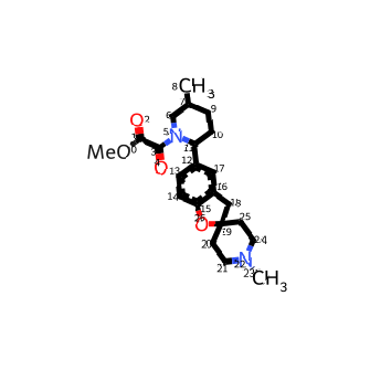 COC(=O)C(=O)N1CC(C)CCC1c1ccc2c(c1)CC1(CCN(C)CC1)O2